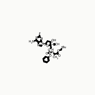 C#C[C@]1(COP(=O)(N[C@@H](C)C(=O)OCC(C)(C)C)Oc2ccccc2)O[C@@H](n2cnc3c(N)nc(F)nc32)C[C@@H]1O